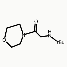 CC(C)(C)NCC(=O)N1CCOCC1